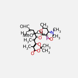 CO[C@](C)(C[C@@H](C)C=O)[C@H](O[C@@H]1OC(C)CC(N(C)C)[C@H]1P=O)[C@@H](C)C1=C(C)C(=O)OC(C)(C)O1